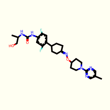 Cc1cnc(N2CCC(ON=C3CCC(c4cc(F)c(NC(=O)NC(C)CO)cc4F)CC3)CC2)nc1